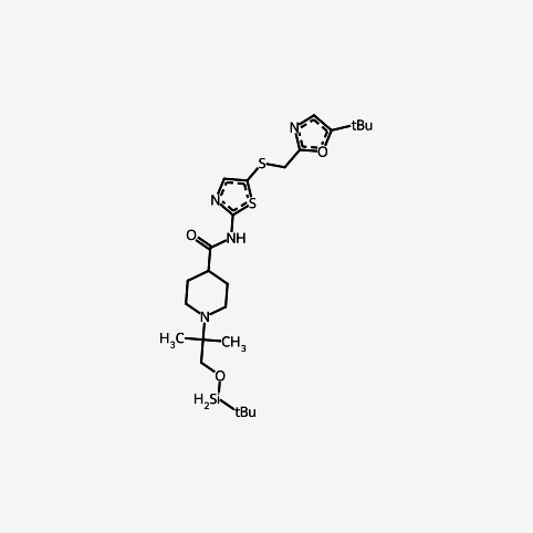 CC(C)(C)[SiH2]OCC(C)(C)N1CCC(C(=O)Nc2ncc(SCc3ncc(C(C)(C)C)o3)s2)CC1